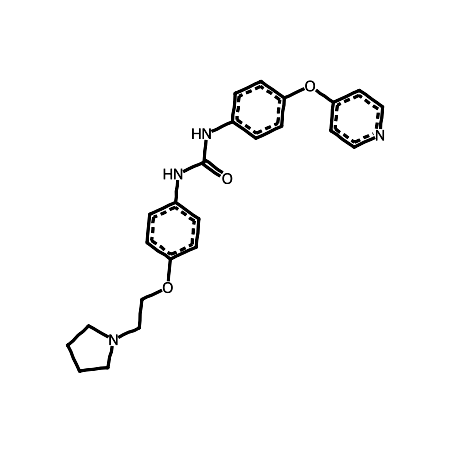 O=C(Nc1ccc(OCCN2CCCC2)cc1)Nc1ccc(Oc2ccncc2)cc1